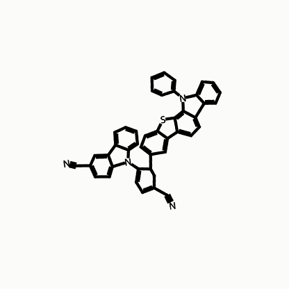 N#CC1=CC=C(n2c3ccccc3c3cc(C#N)ccc32)C(c2ccc3sc4c(ccc5c6ccccc6n(-c6ccccc6)c54)c3c2)C1